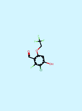 O=Cc1c(OCC(F)(F)F)cc(O)c(Cl)c1F